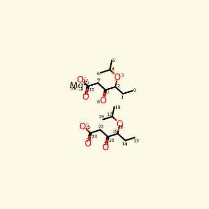 CCC(OC(C)C)C(=O)CC(=O)[O-].CCC(OC(C)C)C(=O)CC(=O)[O-].[Mg+2]